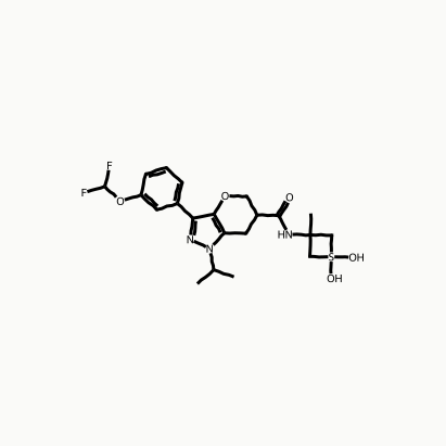 CC(C)n1nc(-c2cccc(OC(F)F)c2)c2c1CC(C(=O)NC1(C)CS(O)(O)C1)CO2